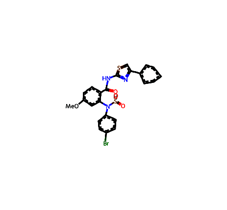 COc1ccc(C(=O)Nc2nc(-c3ccccc3)cs2)c(N(c2ccc(Br)cc2)[SH](=O)=O)c1